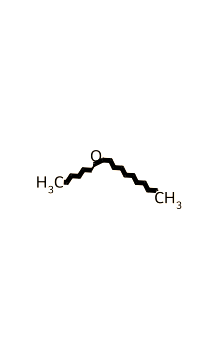 CCCCCCCCCCC1O[C@@H]1CCCCCC